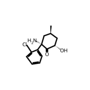 C[C@H]1C[C@H](O)C(=O)[C@@](N)(c2ccccc2Cl)C1